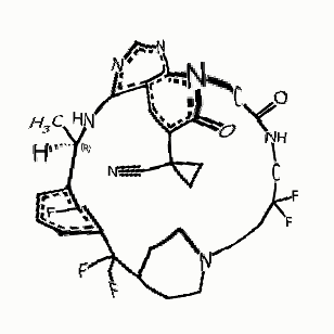 C[C@H]1Nc2ncnc3c2cc(C2(C#N)CC2)c(=O)n3CC(=O)NCC(F)(F)CN2CCC(CC2)C(F)(F)c2cccc1c2F